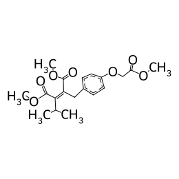 COC(=O)COc1ccc(C/C(C(=O)OC)=C(/C(=O)OC)C(C)C)cc1